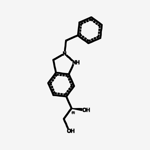 OC[C@H](O)c1ccc2c(c1)NN(Cc1ccccc1)C2